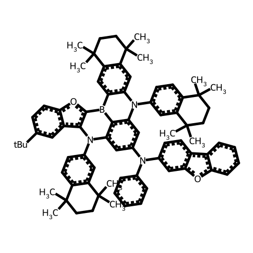 CC(C)(C)c1ccc2oc3c(c2c1)N(c1ccc2c(c1)C(C)(C)CCC2(C)C)c1cc(N(c2ccccc2)c2ccc4c(c2)oc2ccccc24)cc2c1B3c1cc3c(cc1N2c1ccc2c(c1)C(C)(C)CCC2(C)C)C(C)(C)CCC3(C)C